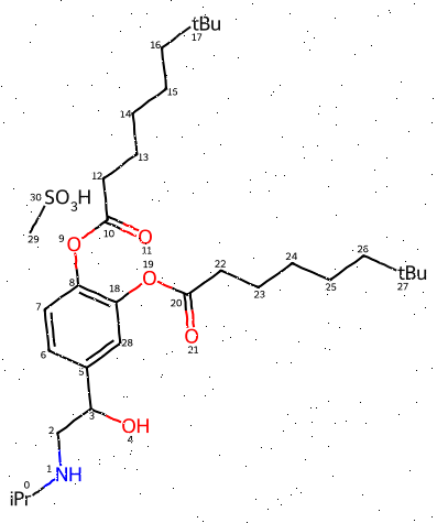 CC(C)NCC(O)c1ccc(OC(=O)CCCCCC(C)(C)C)c(OC(=O)CCCCCC(C)(C)C)c1.CS(=O)(=O)O